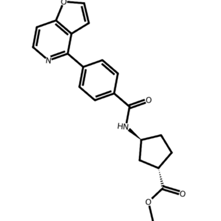 COC(=O)[C@H]1CC[C@H](NC(=O)c2ccc(-c3nccc4occc34)cc2)C1